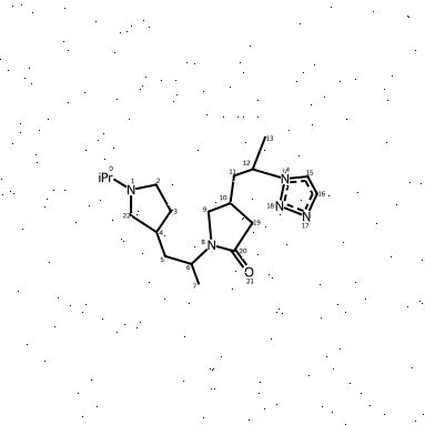 CC(C)N1CCC(CC(C)N2CC(CC(C)n3ccnn3)CC2=O)C1